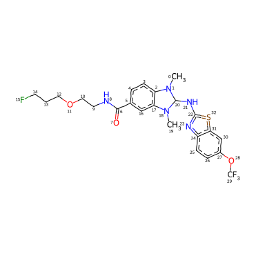 CN1c2ccc(C(=O)NCCOCCCF)cc2N(C)C1Nc1nc2ccc(OC(F)(F)F)cc2s1